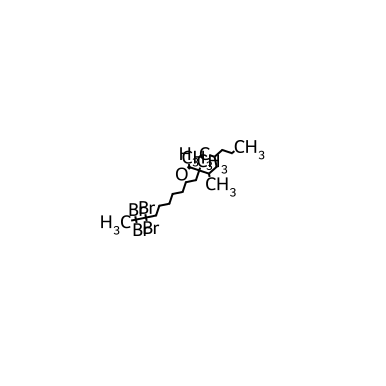 CCCC(C)CC(C)C(C)(CCCCCCCC(Br)(Br)C(C)(Br)Br)C(C)=O